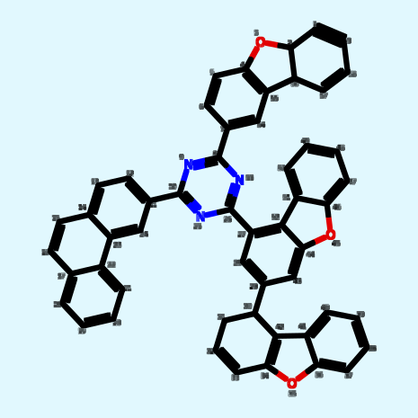 C1#CC2Oc3ccc(-c4nc(-c5ccc6ccc7ccccc7c6c5)nc(-c5cc(C6CC=Cc7oc8ccccc8c76)cc6oc7ccccc7c56)n4)cc3C2C=C1